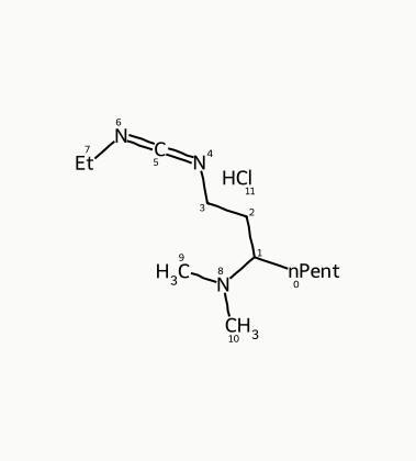 CCCCCC(CCN=C=NCC)N(C)C.Cl